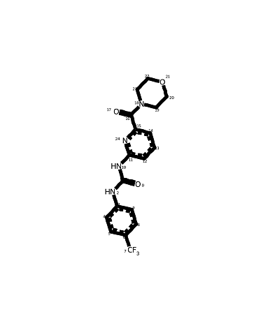 O=C(Nc1ccc(C(F)(F)F)cc1)Nc1cccc(C(=O)N2CCOCC2)n1